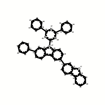 c1ccc(-c2ccc3c4cc(-c5ccc6c(c5)oc5ccccc56)ccc4n(-c4nc(-c5ccccc5)nc(-c5ccccc5)n4)c3c2)cc1